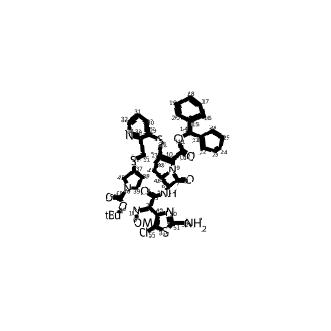 CON=C(C(=O)NC1C(=O)N2C(C(=O)OC(c3ccccc3)c3ccccc3)=C(Sc3cccnc3CSC3CCN(C(=O)OC(C)(C)C)C3)CCC12)c1nc(N)sc1Cl